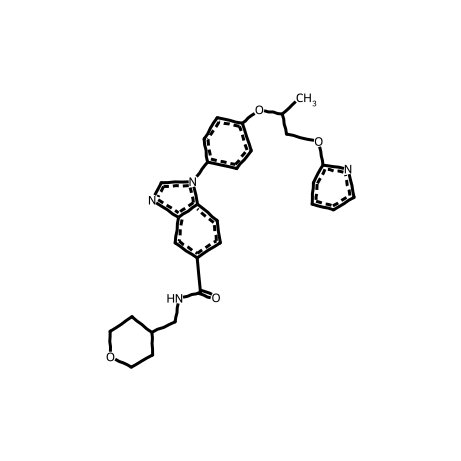 CC(COc1ccccn1)Oc1ccc(-n2cnc3cc(C(=O)NCC4CCOCC4)ccc32)cc1